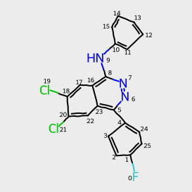 Fc1ccc(-c2nnc(Nc3ccccc3)c3cc(Cl)c(Cl)cc23)cc1